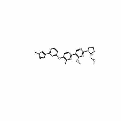 COC[C@H]1CCCN1c1ncc(-c2ccc(Oc3ccnc(-c4cnn(C)c4)c3)c(C)n2)c(OC)n1